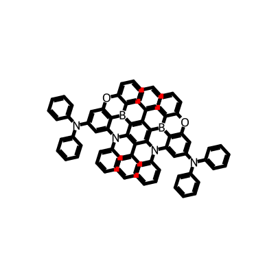 c1ccc(-c2c3c(c(-c4ccccc4)c4c2B2c5ccccc5Oc5cc(N(c6ccccc6)c6ccccc6)cc(c52)N4c2ccccc2)N(c2ccccc2)c2cc(N(c4ccccc4)c4ccccc4)cc4c2B3c2ccccc2O4)cc1